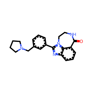 O=C1NCCn2c(-c3cccc(CN4CCCC4)c3)nc3cccc1c32